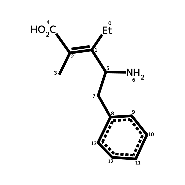 CCC(=C(C)C(=O)O)C(N)Cc1ccccc1